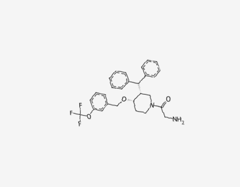 NCC(=O)N1CC[C@H](OCc2cccc(OC(F)(F)F)c2)[C@H](C(c2ccccc2)c2ccccc2)C1